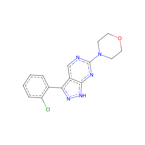 Clc1ccccc1-c1n[nH]c2nc(N3CCOCC3)ncc12